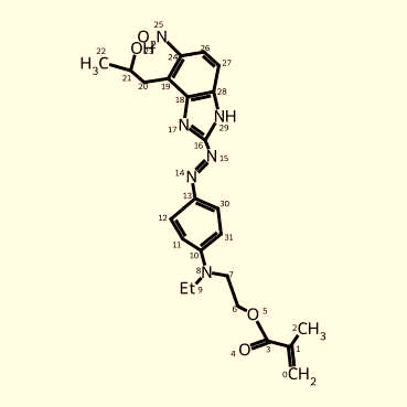 C=C(C)C(=O)OCCN(CC)c1ccc(N=Nc2nc3c(CC(C)O)c([N+](=O)[O-])ccc3[nH]2)cc1